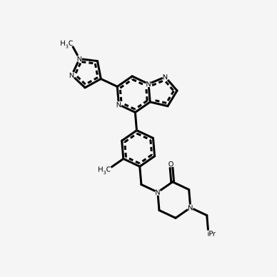 Cc1cc(-c2nc(-c3cnn(C)c3)cn3nccc23)ccc1CN1CCN(CC(C)C)CC1=O